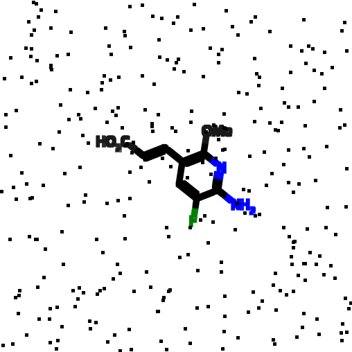 COc1nc(N)c(F)cc1C=CC(=O)O